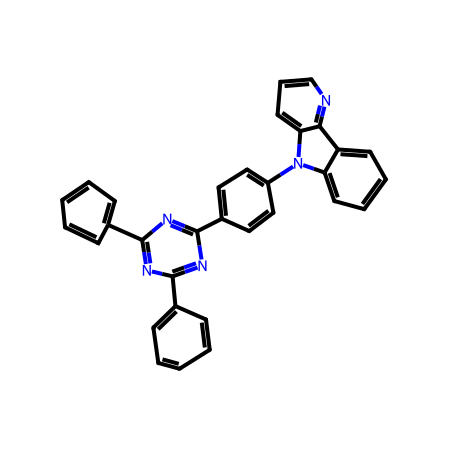 c1ccc(-c2nc(-c3ccccc3)nc(-c3ccc(-n4c5ccccc5c5ncccc54)cc3)n2)cc1